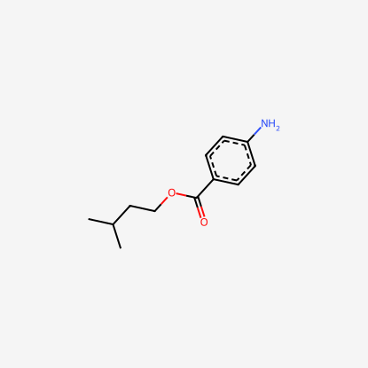 CC(C)CCOC(=O)c1ccc(N)cc1